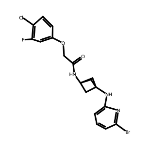 O=C(COc1ccc(Cl)c(F)c1)NC12CC(Nc3cccc(Br)n3)(C1)C2